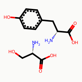 N[C@@H](CO)C(=O)O.N[C@H](Cc1ccc(O)cc1)C(=O)O